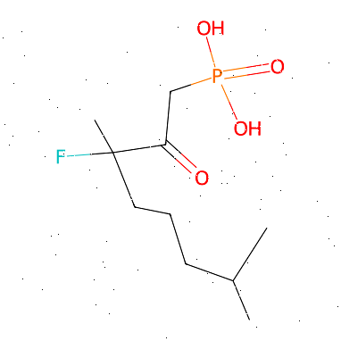 CC(C)CCCC(C)(F)C(=O)CP(=O)(O)O